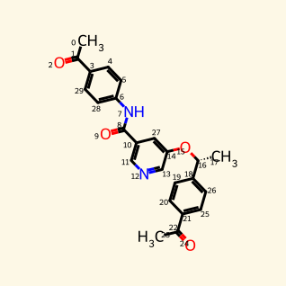 CC(=O)c1ccc(NC(=O)c2cncc(O[C@H](C)c3ccc(C(C)=O)cc3)c2)cc1